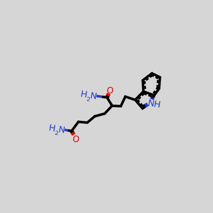 NC(=O)CCCCC(CCc1c[nH]c2ccccc12)C(N)=O